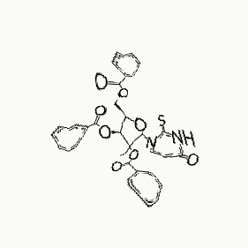 CC1(OC(=O)c2ccccc2)[C@@H](OC(=O)c2ccccc2)[C@@H](COC(=O)c2ccccc2)O[C@H]1n1ccc(=O)[nH]c1=S